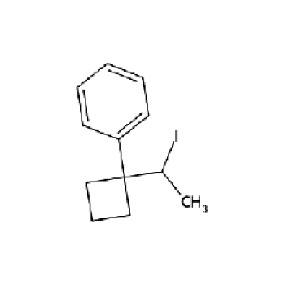 CC(I)C1(c2ccccc2)CCC1